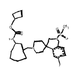 CS(=O)(=O)N1CC2(CCN(C3CCCCC(NC(=O)OC4CCC4)C3)CC2)c2cc(F)ccc21